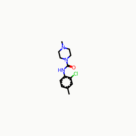 Cc1ccc(NC(=O)N2CCN(C)CC2)c(Cl)c1